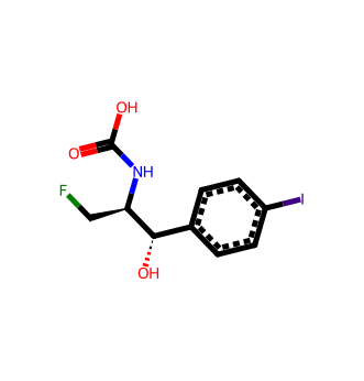 O=C(O)N[C@H](CF)[C@@H](O)c1ccc(I)cc1